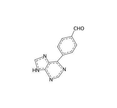 O=Cc1ccc(-c2ncnc3[nH]cnc23)cc1